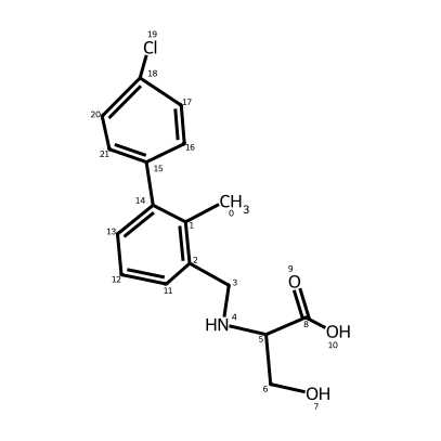 Cc1c(CNC(CO)C(=O)O)cccc1-c1ccc(Cl)cc1